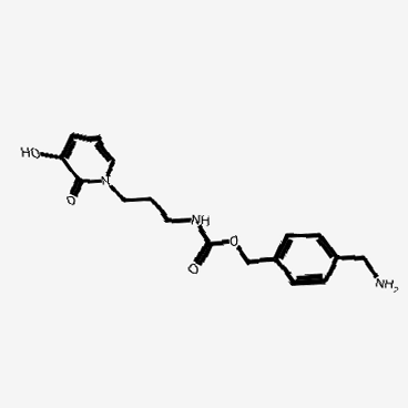 NCc1ccc(COC(=O)NCCCn2cccc(O)c2=O)cc1